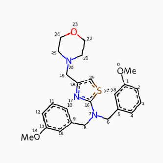 COc1cccc(CN(Cc2cccc(OC)c2)c2nc(CN3CCOCC3)cs2)c1